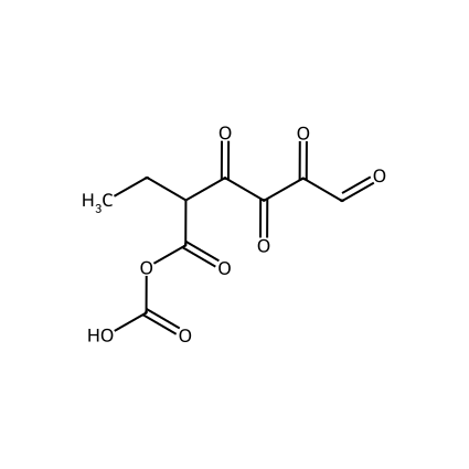 CCC(C(=O)OC(=O)O)C(=O)C(=O)C(=O)C=O